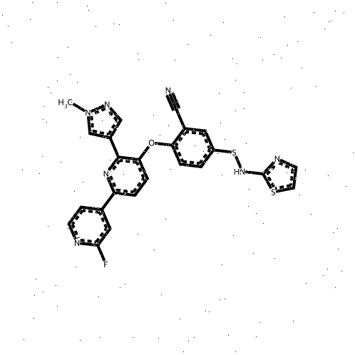 Cn1cc(-c2nc(-c3ccnc(F)c3)ccc2Oc2ccc(SNc3nccs3)cc2C#N)cn1